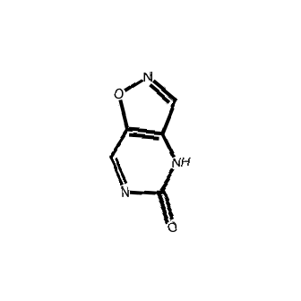 O=c1ncc2oncc2[nH]1